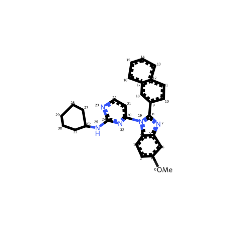 COc1ccc2c(c1)nc(-c1ccc3ccccc3c1)n2-c1ccnc(NC2CCCCC2)n1